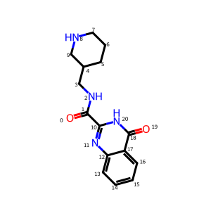 O=C(NCC1CCCNC1)c1nc2ccccc2c(=O)[nH]1